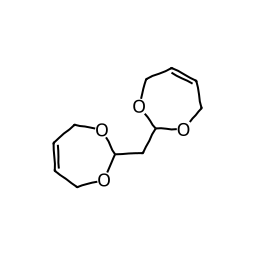 C1=CCOC(CC2OCC=CCO2)OC1